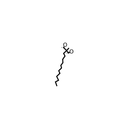 CCCCCCCCCCCCC(C)([C]=O)[C]=O